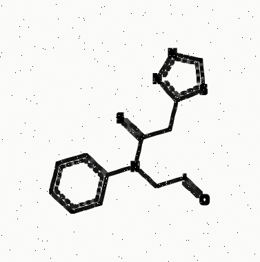 O=[C]CN(C(=S)Cc1nncs1)c1ccccc1